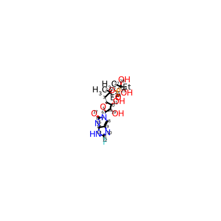 CCC(C)(C[C@H]1O[C@@H](n2cc3nc(F)[nH]c3nc2=O)[C@@H](O)C1O)OP(=O)(O)C(C)(O)CC